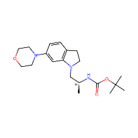 C[C@@H](CN1CCc2ccc(N3CCOCC3)cc21)NC(=O)OC(C)(C)C